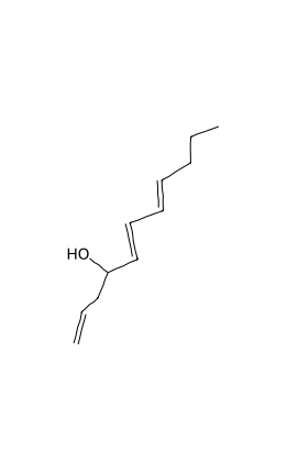 C=CCC(O)C=CC=CCCC